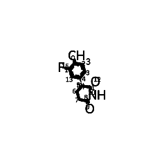 Cc1ccc([C@H]2CCC(=O)NC2=O)cc1F